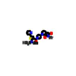 CC(C)N1C(=O)CC2(CCCN(C3CCN(C(=O)c4cc(-c5ccccn5)sc4N(C(=O)O)C(C)(C)C)CC3)C2)C1=O